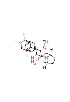 CO[C@H](C(=O)N1[C@@H]2CC[C@H]1C[C@H]([C@H](N)Cc1cc(F)c(F)cc1F)C2)c1ccccc1